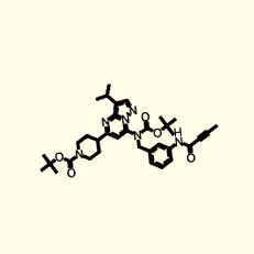 CC#CC(=O)Nc1cccc(CN(C(=O)OC(C)(C)C)c2cc(C3CCN(C(=O)OC(C)(C)C)CC3)nc3c(C(C)C)cnn23)c1